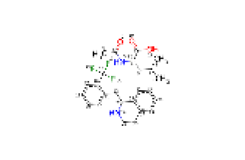 CC(=O)N[C@@H](CC(C)C)C(=O)O.FC(F)(F)c1ccccc1CC1NCCc2ccccc21